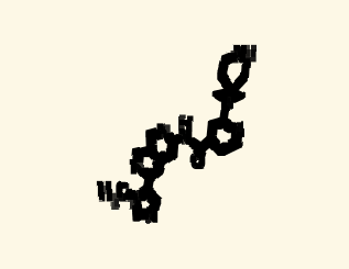 Cn1cncc1-c1cc2cc(NC(=O)c3ccnc(N4CC5(CCNCC5)C4)c3)ncc2cn1